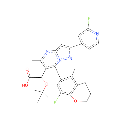 Cc1nc2cc(-c3ccnc(F)c3)nn2c(-c2cc(F)c3c(c2C)CCCO3)c1C(OC(C)(C)C)C(=O)O